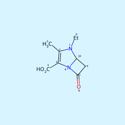 CCN1C(C)=C(C(=O)O)N2C(=O)CC12